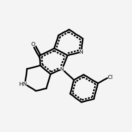 O=c1c2c(n(-c3cccc(Cl)c3)c3ncccc13)CCNC2